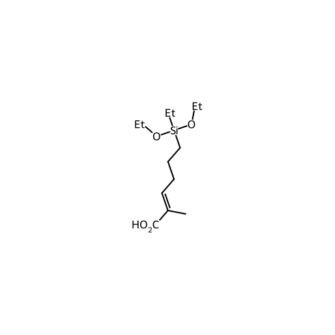 CCO[Si](CC)(CCCC=C(C)C(=O)O)OCC